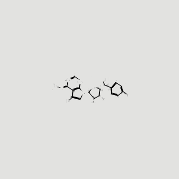 Cl.NN=c1nc[nH]c2c1c(F)cn2[C@@H]1O[C@H](C(O)c2ccc(Cl)cc2)[C@@H](O)[C@H]1O